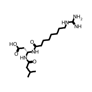 CC(C)CC(=O)N[C@H](CC(=O)O)NC(=O)CCCCCCCNC(=N)N